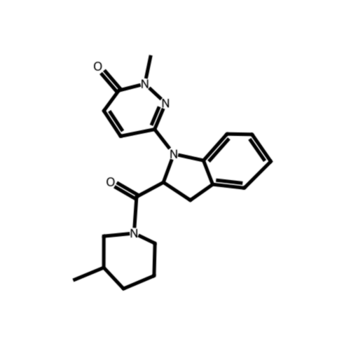 CC1CCCN(C(=O)C2Cc3ccccc3N2c2ccc(=O)n(C)n2)C1